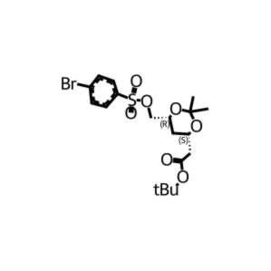 CC(C)(C)OC(=O)C[C@@H]1C[C@H](COS(=O)(=O)c2ccc(Br)cc2)OC(C)(C)O1